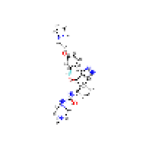 CN1CCN(NC(=O)Nc2cccc3c2C(=O)c2c(-c4ccc(OCCN5CCCC5)cc4F)n[nH]c2-3)CC1